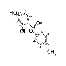 C=Cc1ccc(OC(=O)c2ccc(O)cc2O)cc1